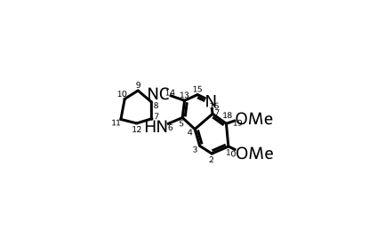 COc1ccc2c(NC3CCCCC3)c(C#N)cnc2c1OC